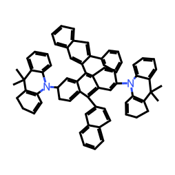 CC1(C)C2=C(C=CCC2)N(c2ccc3c(-c4cc5ccccc5cc4-c4ccccc4)c4c(c(-c5ccc6ccccc6c5)c3c2)=CCC(N2C3=C(CCC=C3)C(C)(C)c3ccccc32)C=4)c2ccccc21